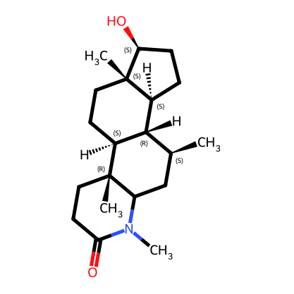 C[C@H]1CC2N(C)C(=O)CC[C@]2(C)[C@H]2CC[C@]3(C)[C@@H](O)CC[C@H]3[C@H]12